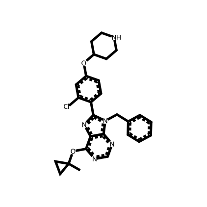 CC1(Oc2ncnc3c2nc(-c2ccc(OC4CCNCC4)cc2Cl)n3Cc2ccccc2)CC1